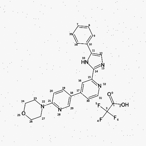 O=C(O)C(F)(F)F.c1ccc(-c2cnc(-c3cc(-c4ccc(N5CCOCC5)nc4)ccn3)[nH]2)cc1